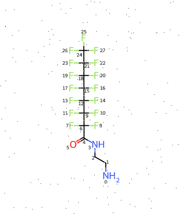 NCCNC(=O)C(F)(F)C(F)(F)C(F)(F)C(F)(F)C(F)(F)C(F)(F)C(F)(F)F